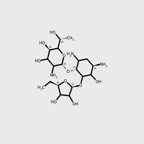 CC[C@H]1O[C@@H](OC2C(O)[C@H](N)CC(N)[C@H]2O[C@H]2OC([C@@H](C)O)[C@H](O)C(O)C2N)C(O)C1O